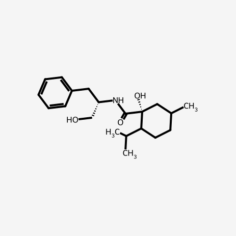 CC1CCC(C(C)C)[C@@](O)(C(=O)N[C@H](CO)Cc2ccccc2)C1